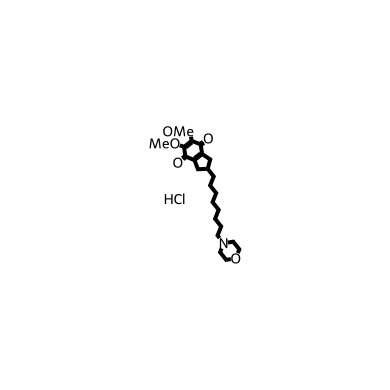 COC1=C(OC)C(=O)C2=C(CC(CCCCCCCCN3CCOCC3)C2)C1=O.Cl